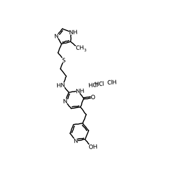 Cc1[nH]cnc1CSCCNc1ncc(Cc2ccnc(O)c2)c(=O)[nH]1.Cl.Cl.Cl